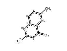 Cc1cc(=O)n2nc(C)ccc2n1